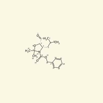 CC(C)C[C@H]1[C@@H](C=O)OC(C)(C)N1C(=O)OCc1ccccc1